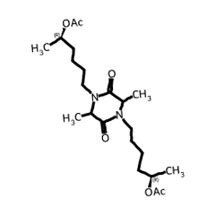 CC(=O)O[C@H](C)CCCCN1C(=O)C(C)N(CCCC[C@@H](C)OC(C)=O)C(=O)C1C